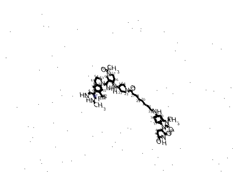 CN/C=C(\C=N)c1cc2c(cc1C(F)F)N(C(=N)C1=C(NC3CCN(C(=O)CCCCCCCNc4ccc5c(c4)n(C)c(=O)n5C4CCC(=O)NC4=O)CC3)CCN(C(C)=O)C1)CCC2